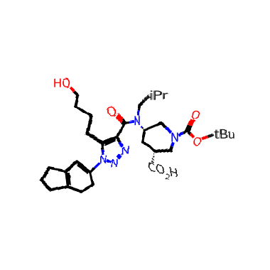 CC(C)CN(C(=O)c1nnn(C2=CC3=C(CCC3)CC2)c1CCCCO)[C@H]1C[C@@H](C(=O)O)CN(C(=O)OC(C)(C)C)C1